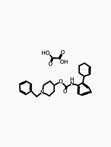 O=C(Nc1ccccc1C1C=CCCC1)OC1CCN(Cc2ccccc2)CC1.O=C(O)C(=O)O